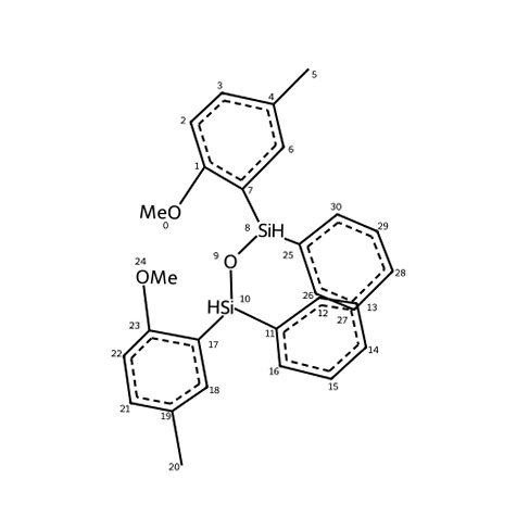 COc1ccc(C)cc1[SiH](O[SiH](c1ccccc1)c1cc(C)ccc1OC)c1ccccc1